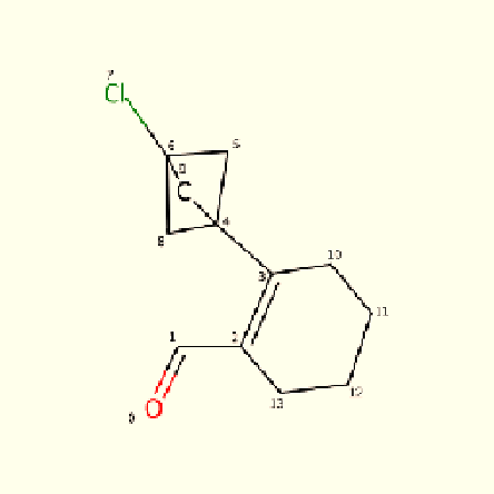 O=CC1=C(C23CC(Cl)(C2)C3)CCCC1